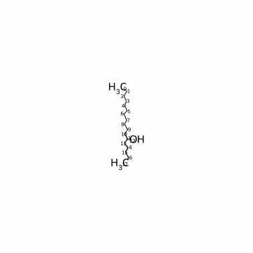 CCCCCCCCCCCC(O)CCCCC